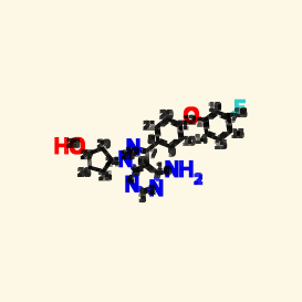 Nc1ncnc2c1c(-c1ccc(Oc3cccc(F)c3)cc1)nn2C1CCC(O)C1